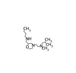 CCCCNCC1CN(CCN(C)CC(C)C)CCO1